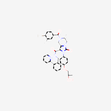 C[C@H]1Cn2c(c(C(=O)NCc3ccccc3-c3ccccn3)n(-c3ccc(OC[C@@](C)(O)C(F)(F)F)cc3)c2=O)CN1C(=O)c1ccc(Br)c(C(F)(F)F)c1